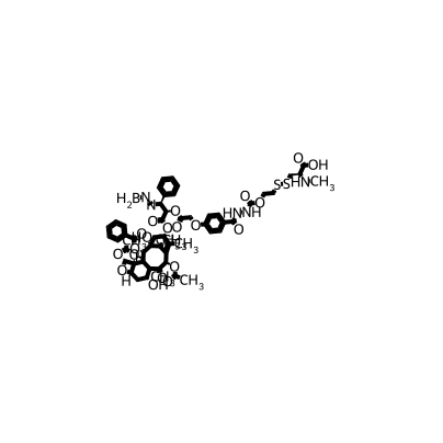 BN=N[C@@H](c1ccccc1)[C@@H](OC(=O)COc1ccc(C(=O)NNC(=O)OCCSSC[C@H](NC)C(=O)O)cc1)C(=O)O[C@H]1C[C@@]2(O)[C@@H](OC(=O)c3ccccc3)[C@@H]3[C@]4(OC(C)=O)CO[C@@H]4C[C@H](O)[C@@]3(C)C(=O)[C@H](OC(C)=O)C(=C1C)C2(C)C